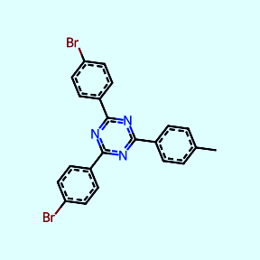 Cc1ccc(-c2nc(-c3ccc(Br)cc3)nc(-c3ccc(Br)cc3)n2)cc1